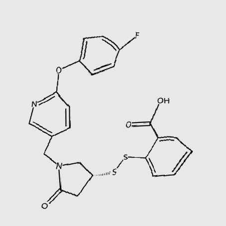 O=C(O)c1ccccc1SS[C@@H]1CC(=O)N(Cc2ccc(Oc3ccc(F)cc3)nc2)C1